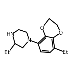 CCc1ccc(N2CCNC(CC)C2)c2c1OCCO2